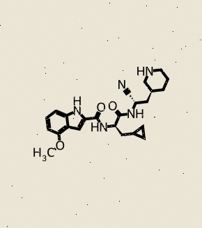 COc1cccc2[nH]c(C(=O)N[C@H](CC3CC3)C(=O)N[C@H](C#N)C[C@@H]3CCCNC3)cc12